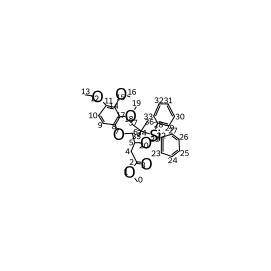 COC(=O)CC(COc1ccc(OC)c(OC)c1OC)O[Si](c1ccccc1)(c1ccccc1)C(C)(C)C